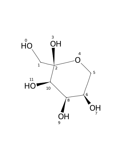 OC[C@]1(O)OC[C@@H](O)[C@@H](O)[C@H]1O